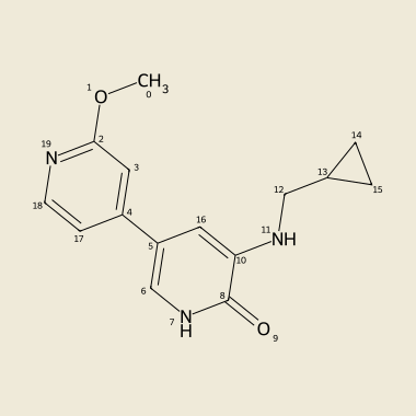 COc1cc(-c2c[nH]c(=O)c(NCC3CC3)c2)ccn1